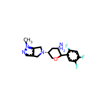 Cn1ncc2c1CN([C@H]1COC(c3cc(F)c(F)cc3F)[C@@H](N)C1)C2